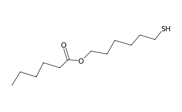 CCCCCC(=O)OCCCCCCS